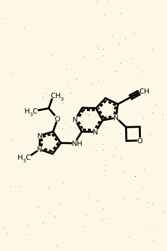 C#Cc1cc2cnc(Nc3cn(C)nc3OC(C)C)nc2n1C1COC1